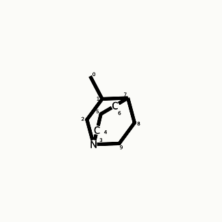 CC1CN2CCCC1CC2